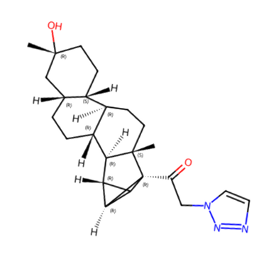 C[C@@]1(O)CC[C@H]2[C@H](CC[C@@H]3[C@@H]2CC[C@@]2(C)[C@H]3[C@@H]3C4[C@@H]3[C@]42C(=O)Cn2ccnn2)C1